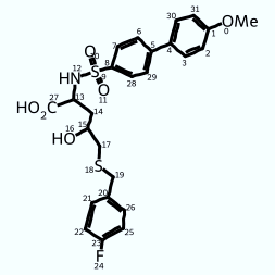 COc1ccc(-c2ccc(S(=O)(=O)NC(CC(O)CSCc3ccc(F)cc3)C(=O)O)cc2)cc1